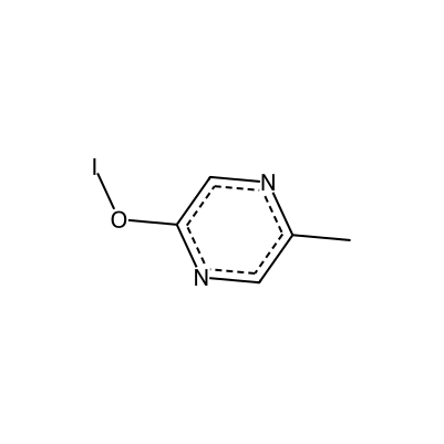 Cc1cnc(OI)cn1